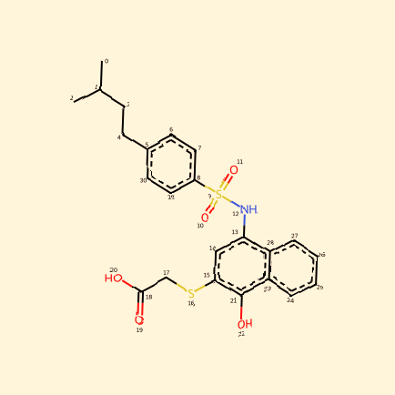 CC(C)CCc1ccc(S(=O)(=O)Nc2cc(SCC(=O)O)c(O)c3ccccc23)cc1